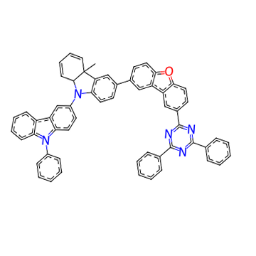 CC12C=CC=CC1N(c1ccc3c(c1)c1ccccc1n3-c1ccccc1)c1ccc(-c3ccc4oc5ccc(-c6nc(-c7ccccc7)nc(-c7ccccc7)n6)cc5c4c3)cc12